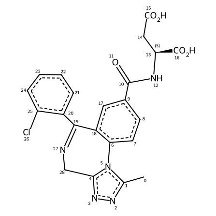 Cc1nnc2n1-c1ccc(C(=O)N[C@@H](CC(=O)O)C(=O)O)cc1C(c1ccccc1Cl)=NC2